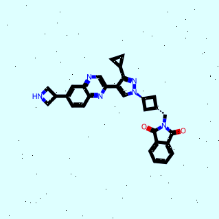 O=C1c2ccccc2C(=O)N1C[C@H]1C[C@H](n2cc(-c3cnc4cc(C5CNC5)ccc4n3)c(C3CC3)n2)C1